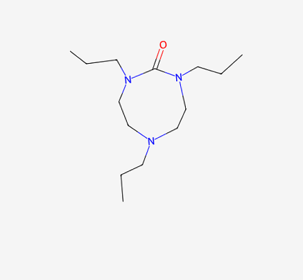 CCCN1CCN(CCC)C(=O)N(CCC)CC1